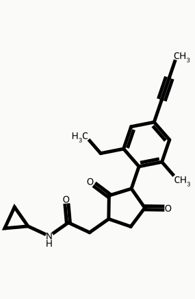 CC#Cc1cc(C)c(C2C(=O)CC(CC(=O)NC3CC3)C2=O)c(CC)c1